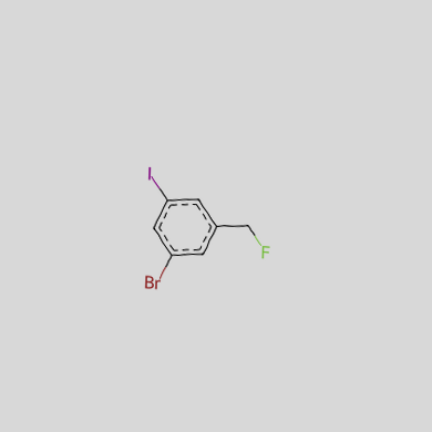 FCc1cc(Br)cc(I)c1